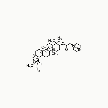 CC1(C)C(OC(=O)C[N+]23CCN(CC2)CC3)CC[C@@]2(C)C1CC[C@]1(C)C2CCC2C3[C@H]4OC[C@@]3(CCC4(C)C)CC[C@]21C